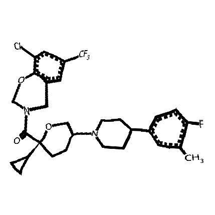 Cc1cc(C2CCN(C3CC[C@@](C(=O)N4COc5c(Cl)cc(C(F)(F)F)cc5C4)(C4CC4)OC3)CC2)ccc1F